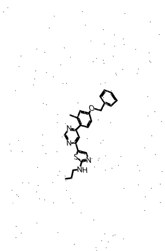 CCCNc1ncc(-c2cc(-c3ccc(OCc4ccccc4)cc3C)ncn2)s1